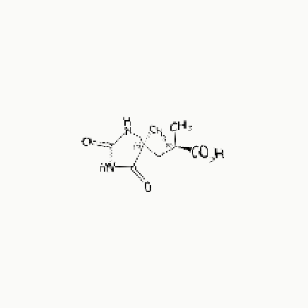 C[C@H](C[C@]1(C)NC(=O)NC1=O)C(=O)O